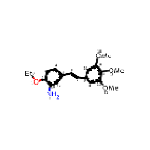 CCOc1ccc(/C=C/c2cc(OC)c(OC)c(OC)c2)cc1N